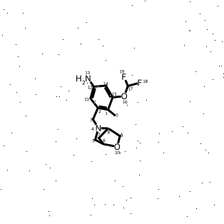 Cc1c(CN2CC3CC2CO3)cc(N)cc1OC(F)F